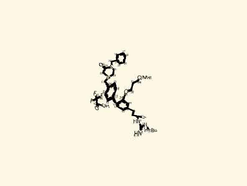 CCCCNC(=N)NC(=O)CCc1ccc(-c2ccc(CN3CCN(Cc4ccccc4)C(=O)C3)cc2)c(OCCCOC)c1.O=C(O)C(F)(F)F